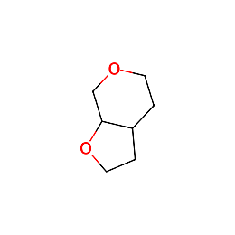 C1CC2CCOC2CO1